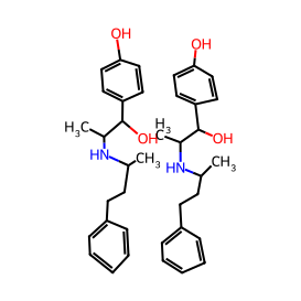 CC(CCc1ccccc1)NC(C)C(O)c1ccc(O)cc1.CC(CCc1ccccc1)NC(C)C(O)c1ccc(O)cc1